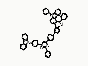 c1ccc(-c2nc(-c3ccc(-c4ccc5nc(-c6ccccc6)c6c(ccc7c6c6ccccc6n7-c6ccccc6)c5c4)cc3)cc(-c3ccc(-n4c5ccccc5c5ccccc54)cc3)n2)cc1